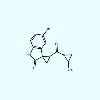 CC1CN1C(=O)C1CC12C(=O)Nc1ccc(Br)cc12